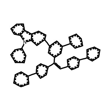 C(=C(\c1ccc(-c2ccccc2)cc1)c1cc(-c2ccccc2)cc(-c2ccc3c4ccccc4n(-c4ccccc4)c3c2)c1)/c1ccc(-c2ccccc2)cc1